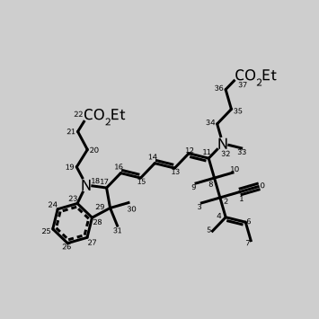 C#CC(C)(/C(C)=C/C)C(C)(C)\C(=C/C=C/C=C/C1N(CCCC(=O)OCC)c2ccccc2C1(C)C)N(C)CCCC(=O)OCC